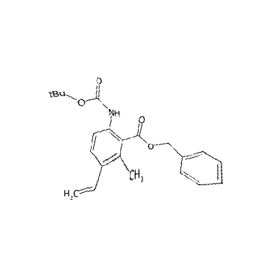 C=Cc1ccc(NC(=O)OC(C)(C)C)c(C(=O)OCc2ccccc2)c1C